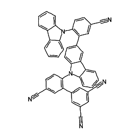 N#Cc1cc(C#N)cc(-c2cc(C#N)ccc2-n2c3ccccc3c3cc(-c4cc(C#N)ccc4-n4c5ccccc5c5ccccc54)ccc32)c1